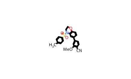 COc1cc(-c2ccc3c(c2)N(S(=O)(=O)c2ccc(C)cc2)CCO3)ccc1C#N